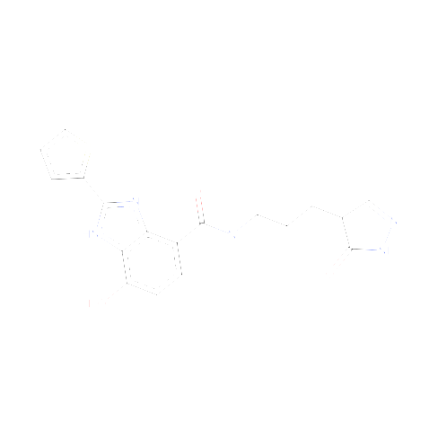 O=C(NCCCC1C=NNC1=O)c1ccc(O)c2[nH]c(-c3cccs3)nc12